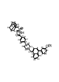 CCOc1cncc(-c2ccc(CN3CCN(c4ccc(C(=O)NS(=O)(=O)CC56CC7CC(CC(C7)C5)C6)cc4)CC3)c3ccccc23)c1